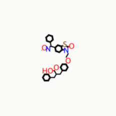 CO/N=C(\c1ccccc1)c1ccc2c(c1)sc(=O)n2CCOc1ccc(CC(Cc2ccccc2)C(=O)O)cc1